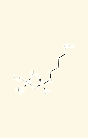 CCCCCCCCCCCCOP(=O)([O-])O[N+](C)(C)C